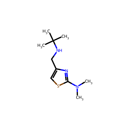 CN(C)c1nc(CNC(C)(C)C)cs1